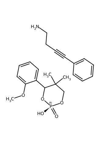 COc1ccccc1C1O[P@](=O)(O)OCC1(C)C.NCCC#Cc1ccccc1